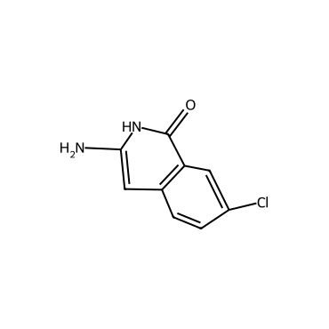 Nc1cc2ccc(Cl)cc2c(=O)[nH]1